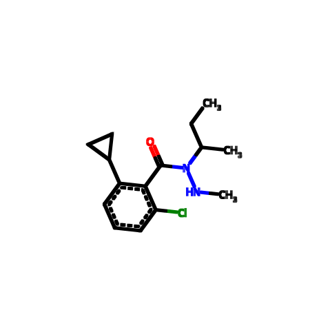 CCC(C)N(NC)C(=O)c1c(Cl)cccc1C1CC1